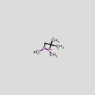 CP1CC(C)(C)P1C